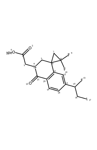 COC(=O)CN1CC2(CC2(F)F)c2cc(C(F)CI)ccc2C1=O